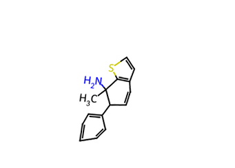 CC1(N)c2sccc2C=CC1c1ccccc1